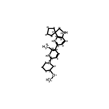 COC1CCCN(c2ccc(-c3ccc4c(n3)C3(CCCC3)CN4)c(C)n2)C1